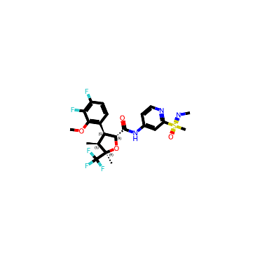 CN=S(C)(=O)c1cc(NC(=O)[C@@H]2O[C@@](C)(C(F)(F)F)[C@@H](C)[C@H]2c2ccc(F)c(F)c2OC)ccn1